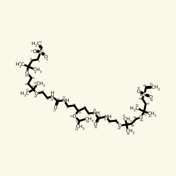 C=CS(=O)(=O)CCC(C)(C)OCCC(C)(C)OCCNC(=O)NCCC(CCNC(=O)NCCOC(C)(C)CCOC(C)(C)CCS(=O)(=O)C=C)OC(C)C